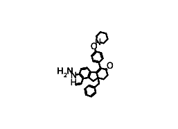 C=Cc1c(NN)ccc2c1CC1(Cc3ccccc3)CCC(=O)C(c3ccc(ON4CCCCC4)cc3)=C21